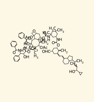 C=C1/C(=C\C=C2/CCC[C@@]3(C)C2CCC3[C@@H](C)/C=C/C(O)C2CC2)C[C@@H](C=O)C[C@@H]1OC(=O)NC1CC(C)(C)CC(C)(NC(=O)OC2CC3OCC3(OC(C)=O)C3C(OC(=O)c4ccccc4)C4(O)CC(OC(=O)C(O)C(NC(=O)c5ccccc5)c5ccccc5)C(C)=C(C(OC(C)=O)C(=C)C23O)C4(C)C)C1